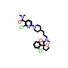 CN(C)C(=O)c1ccc(N2CCC(CCCN(C)C(=O)C3(c4ccccc4Cl)CCCO3)CC2)nc1Cl